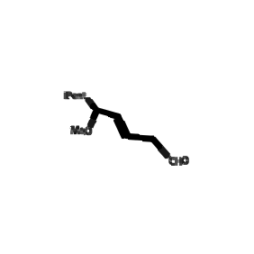 CCCC(C)C(/C=C/CC=O)OC